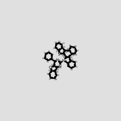 c1ccc(-c2nc(-n3c4ccccc4c4c5ccccc5c5c6ccccc6sc5c43)nc3c2oc2ccccc23)cc1